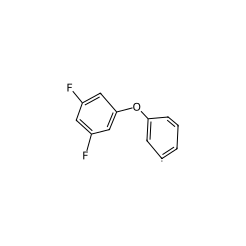 Fc1cc(F)cc(Oc2c[c]ccc2)c1